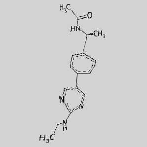 CCNc1ncc(-c2ccc([C@H](C)NC(C)=O)cc2)cn1